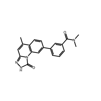 Cc1cc2n[nH]c(=O)n2c2cc(-c3cccc(C(=O)N(C)C)c3)ccc12